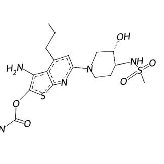 CCCc1cc(N2CCC(NS(C)(=O)=O)[C@@H](O)C2)nc2sc(OC(N)=O)c(N)c12